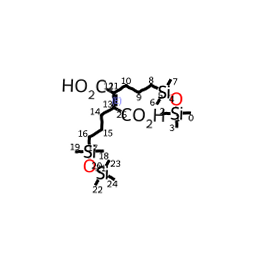 C[Si](C)(C)O[Si](C)(C)CCC/C(C(=O)O)=C(/CCC[Si](C)(C)O[Si](C)(C)C)C(=O)O